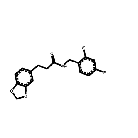 O=C(CCc1ccc2c(c1)OCO2)NCc1ccc(F)cc1F